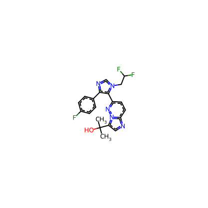 CC(C)(O)c1cnc2ccc(-c3c(-c4ccc(F)cc4)ncn3CC(F)F)nn12